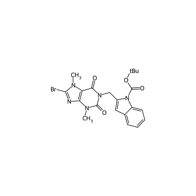 Cn1c(Br)nc2c1c(=O)n(Cc1cc3ccccc3n1C(=O)OC(C)(C)C)c(=O)n2C